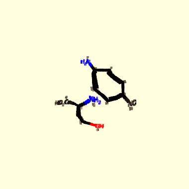 N[C@@H](CO)C(=O)O.Nc1ccc(N=O)cc1